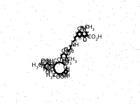 CO[C@@H]1C[C@H](O[C@H]2[C@H](C)[C@@H](O[C@@H]3O[C@H](C)C[C@H](N(C)C)[C@H]3O)[C@](C)(OC)C[C@@H](C)C(=O)[C@@H](O)[C@@]3(O)CC[C@H]3OC(=O)[C@@H]2C)O[C@@H](C)[C@@H]1OC(=O)CCNCCCc1cc2c3c(c1)c(=O)c(C(=O)O)cn3N(C)CO2